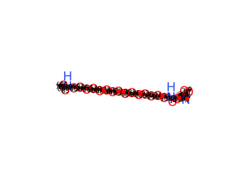 COC(=O)c1ccnc2cc(OCC(=O)NCCOCCOCCOCCOCCOCCOCCOCCOCCOCCOCCOCCOCCOCCOCCOCCNC(=O)OC(C)(C)C)ccc12